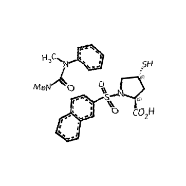 CNC(=O)N(C)c1ccccc1.O=C(O)[C@@H]1C[C@@H](S)CN1S(=O)(=O)c1ccc2ccccc2c1